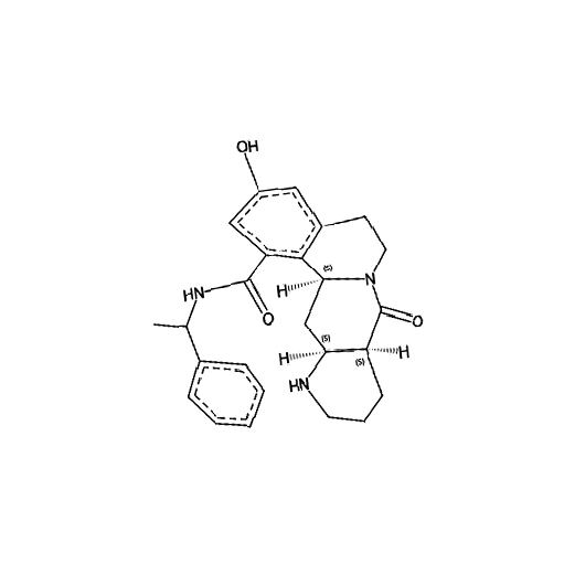 CC(NC(=O)c1cc(O)cc2c1[C@@H]1C[C@@H]3NCCC[C@@H]3C(=O)N1CC2)c1ccccc1